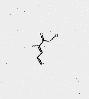 C=CC=C(C)C(=O)OCC